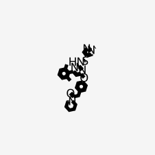 Cc1cccc(C)c1-c1cc(Oc2ccc(CC(=O)N3CCCCC3)cc2)nc(NSc2cnn(C)c2)n1